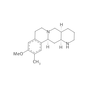 COc1cc2c(cc1C)[C@@H]1C[C@@H]3NCCC[C@@H]3CN1CC2